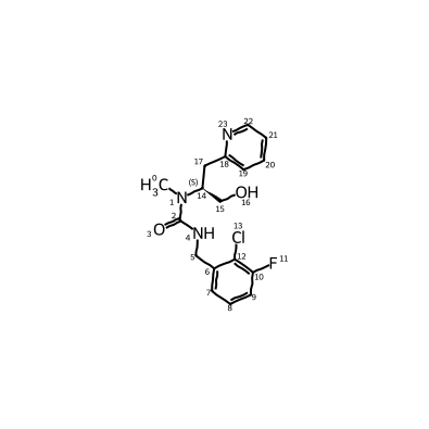 CN(C(=O)NCc1cccc(F)c1Cl)[C@H](CO)Cc1ccccn1